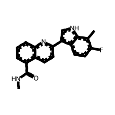 CNC(=O)c1cccc2nc(-c3c[nH]c4c(C)c(F)ccc34)ccc12